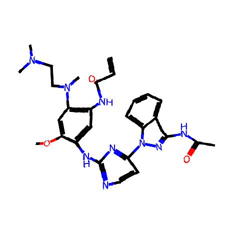 C=CC(=O)Nc1cc(Nc2nccc(-n3nc(NC(C)=O)c4ccccc43)n2)c(OC)cc1N(C)CCN(C)C